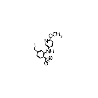 COc1ccc(Nc2cc(CI)ccc2[N+](=O)[O-])cn1